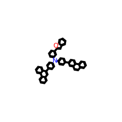 c1cc(-c2cc3ccccc3o2)cc(N(c2ccc(-c3ccc4c(ccc5ccccc54)c3)cc2)c2ccc(-c3cc4ccccc4c4ccccc34)cc2)c1